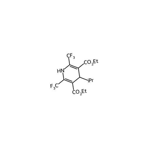 CCOC(=O)C1=C(C(F)(F)F)NC(C(F)(F)F)=C(C(=O)OCC)C1C(C)C